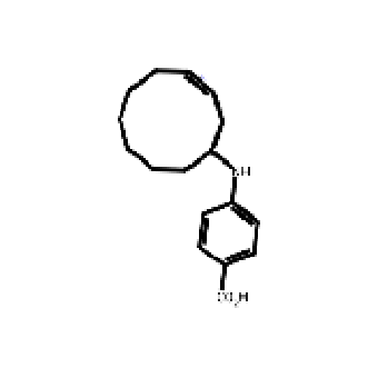 O=C(O)c1ccc(NC2C/C=C\CCCCCC2)cc1